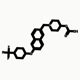 O=C(O)OC1CCN(Cc2ccc3cc(OC4CCC(C(F)(F)F)CC4)ccc3c2)CC1